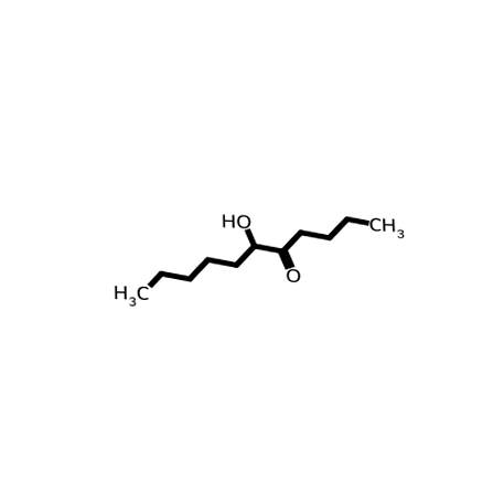 CCCCCC(O)C(=O)CCCC